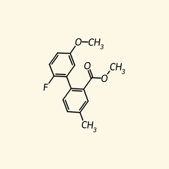 COC(=O)c1cc(C)ccc1-c1cc(OC)ccc1F